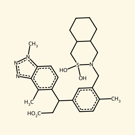 Cc1ccc(C(CC(=O)O)c2ccc3c(nnn3C)c2C)cc1CN1CC2CCCCC2CS1(O)O